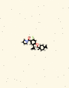 CC1(COc2cc(F)c(C(=O)N3CCCC3)cc2C2CC2)CCC2(CC1)CC2